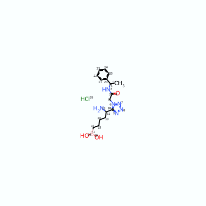 CC(NC(=O)Cn1nnnc1C(N)CCCCB(O)O)c1ccccc1.Cl